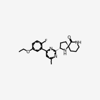 CCOc1ccc(F)c(-c2cc(C)nc([C@@H]3CC[C@@]4(CCCNC4=O)N3)n2)c1